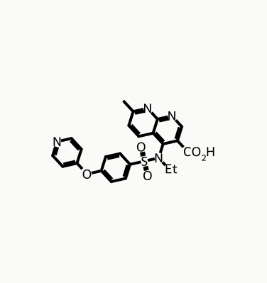 CCN(c1c(C(=O)O)cnc2nc(C)ccc12)S(=O)(=O)c1ccc(Oc2ccncc2)cc1